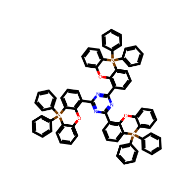 c1ccc(S2(c3ccccc3)c3ccccc3Oc3c(-c4nc(-c5cccc6c5Oc5ccccc5S6(c5ccccc5)c5ccccc5)nc(-c5cccc6c5Oc5ccccc5S6(c5ccccc5)c5ccccc5)n4)cccc32)cc1